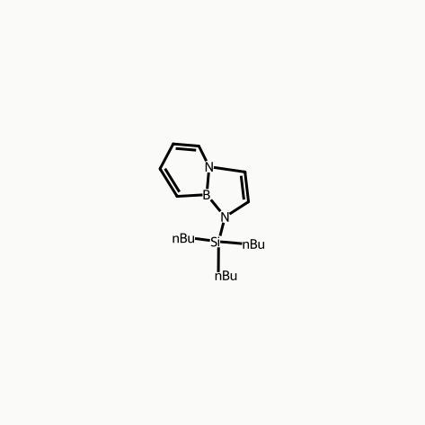 CCCC[Si](CCCC)(CCCC)N1C=CN2C=CC=CB21